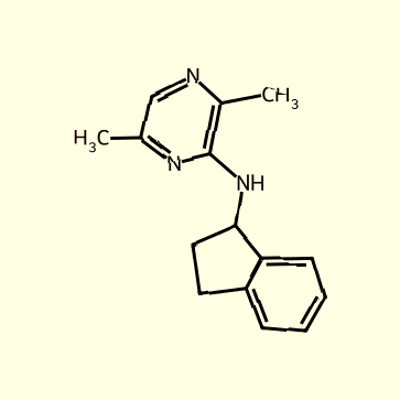 Cc1cnc(C)c(NC2CCc3ccccc32)n1